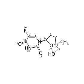 C[C@@]1(CO)CC[C@H](n2cc(F)c(=O)[nH]c2=O)O1